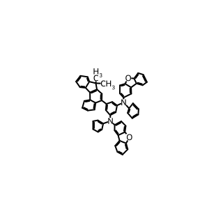 CC1(C)c2ccccc2-c2c1cc(-c1cc(N(c3ccccc3)c3ccc4oc5ccccc5c4c3)cc(N(c3ccccc3)c3ccc4oc5ccccc5c4c3)c1)c1ccccc21